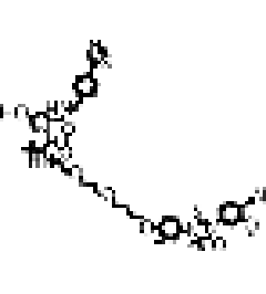 COc1cc(N2C(=O)C(C)(C)N(c3ccc(OCCCCOCCCOCC(=O)N[C@H](C(=O)N4C[C@H](O)C[C@H]4C(=O)NCc4ccc(-c5cncs5)cc4)C(C)(C)C)c(F)c3)C2=S)ccc1C#N